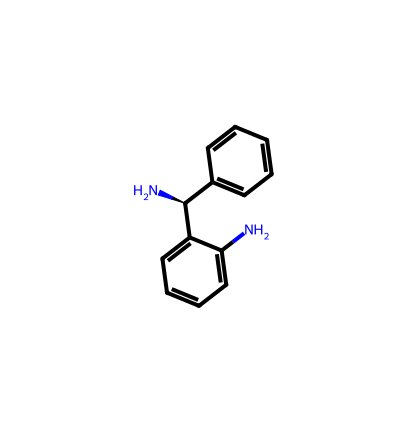 Nc1ccccc1[C@@H](N)c1ccccc1